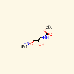 CCC(C)NOCC(O)CNC(=O)OC(C)(C)C